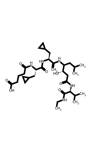 C=C(NC(CC(C)C)[C@@H](O)CC(=O)N[C@H](C(=O)NCC)C(C)C)[C@H](CC1CC1)NC(=O)[C@H](CC1CC1)NC(=O)CCCC(=O)O